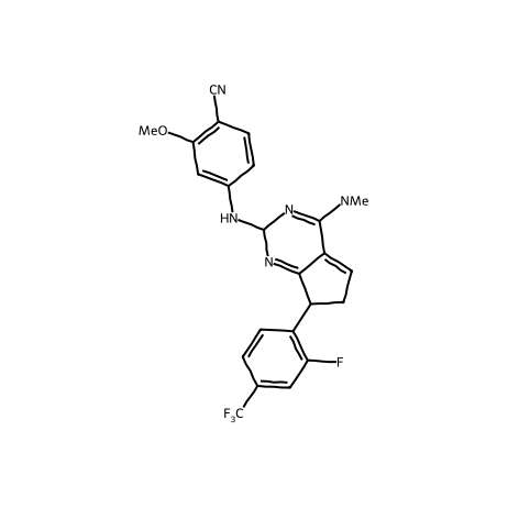 CNC1=NC(Nc2ccc(C#N)c(OC)c2)N=C2C1=CCC2c1ccc(C(F)(F)F)cc1F